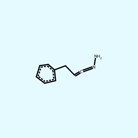 NN=C=CCc1ccccc1